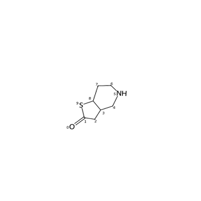 O=C1CC2CNCCC2S1